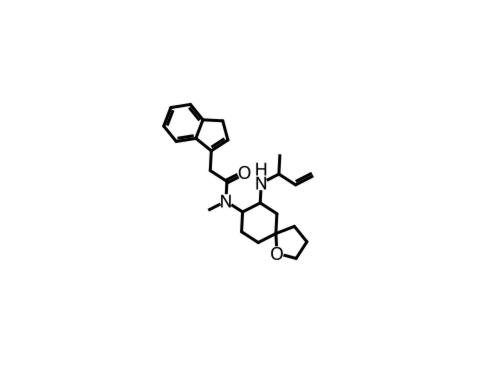 C=CC(C)NC1CC2(CCCO2)CCC1N(C)C(=O)CC1=CCc2ccccc21